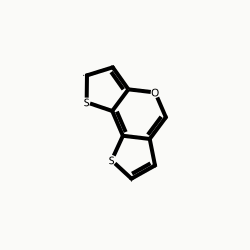 [c]1cc2c(s1)=C1S[CH]C=C1OC=2